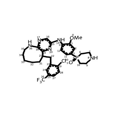 COc1cc(P2(=O)CCNCC2)ccc1Nc1cnc2c(n1)C(Cc1cc(C(F)(F)F)ccc1Cl)CCCCCN2